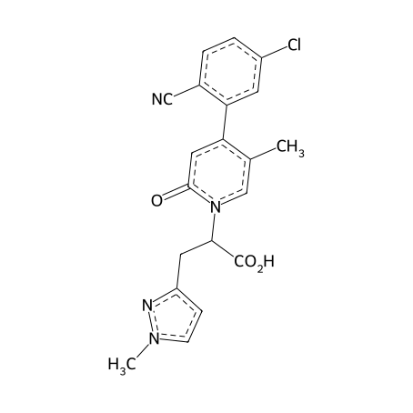 Cc1cn(C(Cc2ccn(C)n2)C(=O)O)c(=O)cc1-c1cc(Cl)ccc1C#N